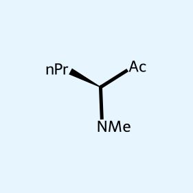 CCC[C@H](NC)C(C)=O